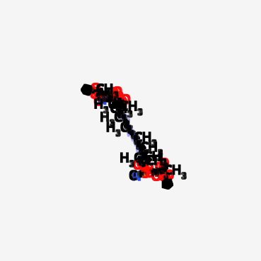 [C-]#[N+]CCOP(=O)(OC[C@H](O)[C@H]1OC(=O)C(C)=C1OC(=O)c1ccccc1)OC1CC(C)(C)C(/C=C/C(C)=C/C=C/C(C)=C/C=C/C=C(C)/C=C/C=C(C)/C=C/C2=C(C)C(=O)C(OP(=O)(OCCC#N)OCC[C@H]3OC(=O)C(OC(=O)c4ccccc4)=C3C)CC2(C)C)=C(C)C1=O